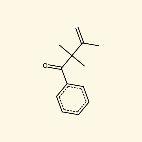 C=C(C)C(C)(C)C(=O)c1ccccc1